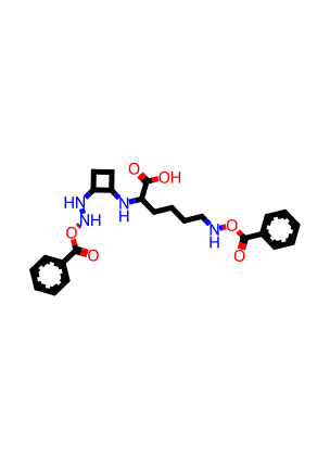 O=C(ONCCCCC(NC1CCC1NNOC(=O)c1ccccc1)C(=O)O)c1ccccc1